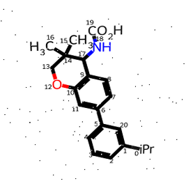 CC(C)c1cccc(-c2ccc3c(c2)OCC(C)(C)C3NC(=O)O)c1